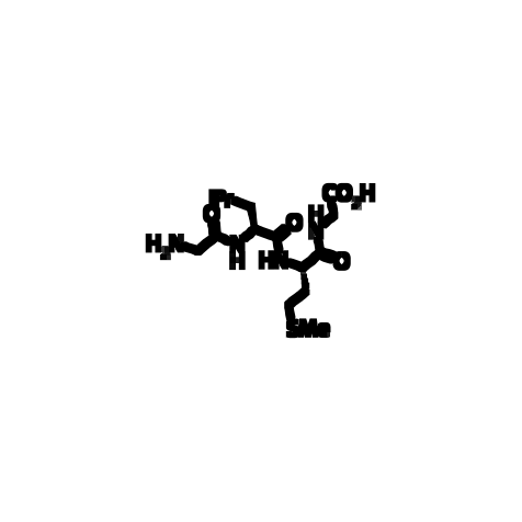 CSCC[C@H](NC(=O)[C@H](CC(C)C)NC(=O)CN)C(=O)NCC(=O)O